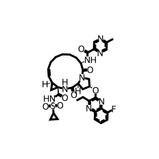 CCc1nc2cccc(F)c2nc1O[C@@H]1C[C@H]2C(=O)N[C@]3(C(=O)NS(=O)(=O)C4CC4)C[C@H]3/C=C\CCCCC[C@H](NC(=O)c3cnc(C)cn3)C(=O)N2C1